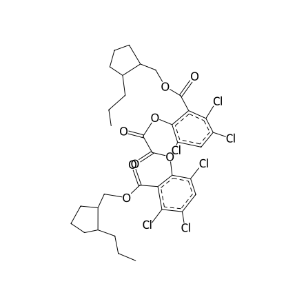 CCCC1CCCC1COC(=O)c1c(Cl)c(Cl)cc(Cl)c1OC(=O)C(=O)Oc1c(Cl)cc(Cl)c(Cl)c1C(=O)OCC1CCCC1CCC